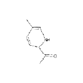 CC(=O)C1C=CC(C)=CN1